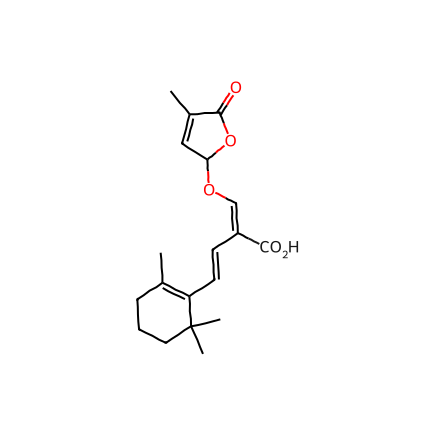 CC1=CC(O/C=C(\C=C\C2=C(C)CCCC2(C)C)C(=O)O)OC1=O